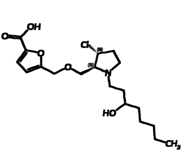 CCCCCC(O)CCN1CC[C@@H](Cl)[C@@H]1COCc1ccc(C(=O)O)o1